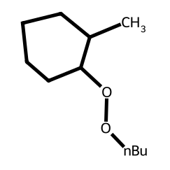 CCCCOOC1CCCCC1C